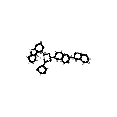 c1ccc(C2=NC(c3ccc4cc(-c5ccc6ccccc6c5)ccc4c3)=NC(c3cccc4oc5ccccc5c34)N2)cc1